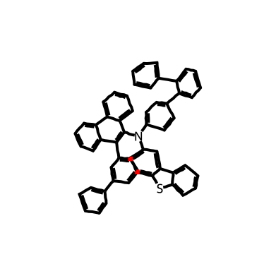 c1ccc(-c2cccc(-c3c(N(c4ccc(-c5ccccc5-c5ccccc5)cc4)c4ccc5sc6ccccc6c5c4)c4ccccc4c4ccccc34)c2)cc1